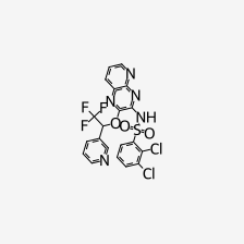 O=S(=O)(Nc1nc2ncccc2nc1OC(c1cccnc1)C(F)(F)F)c1cccc(Cl)c1Cl